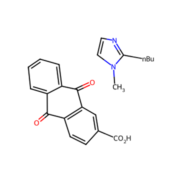 CCCCc1nccn1C.O=C(O)c1ccc2c(c1)C(=O)c1ccccc1C2=O